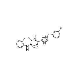 O=C(NC1CCc2ccccc2NC1=O)c1cn(Cc2cccc(F)c2)cn1